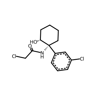 O=C(CCl)N[C@@]1(c2cccc(Cl)c2)CCCC[C@H]1O